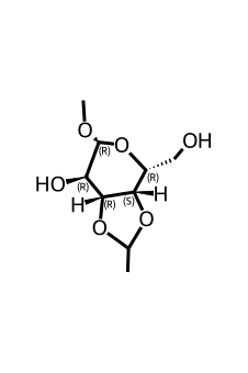 CO[C@@H]1O[C@H](CO)[C@@H]2OC(C)O[C@@H]2[C@H]1O